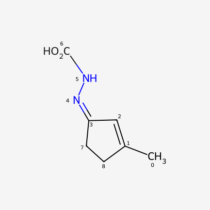 CC1=C/C(=N\NC(=O)O)CC1